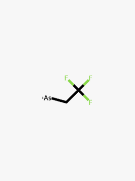 FC(F)(F)C[As]